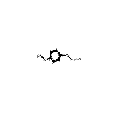 [CH2]CCCCCOc1ccc(OC(C)C)cc1